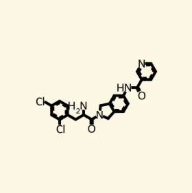 NC(Cc1ccc(Cl)cc1Cl)C(=O)N1Cc2ccc(NC(=O)c3cccnc3)cc2C1